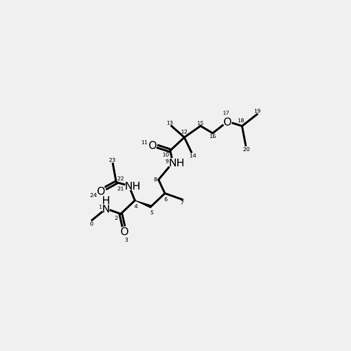 CNC(=O)[C@H](CC(C)CNC(=O)C(C)(C)CCOC(C)C)NC(C)=O